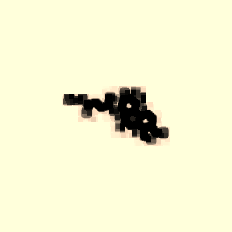 CNC(=O)CCC(=O)O[C@@H]1[C@@]2(C(C)C)O[C@H]2[C@@H]2O[C@]23[C@]12O[C@H]2C[C@H]1C2=C(CC[C@@]13C)C(=O)OC2